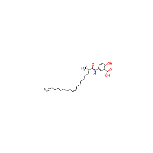 CCCCCCCC/C=C\CCCCCCC(C)C(=O)Nc1ccc(O)c(C(=O)O)c1